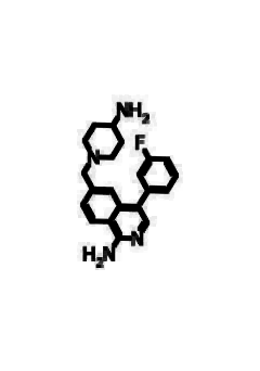 Nc1ncc(-c2cccc(F)c2)c2cc(CN3CCC(N)CC3)ccc12